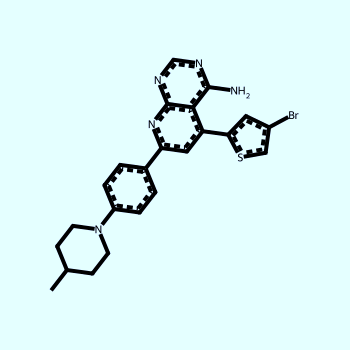 CC1CCN(c2ccc(-c3cc(-c4cc(Br)cs4)c4c(N)ncnc4n3)cc2)CC1